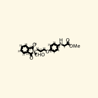 COC(=O)CNc1ccc(OCCC[N+]2(C=O)C(=O)c3ccccc3C2=O)cc1